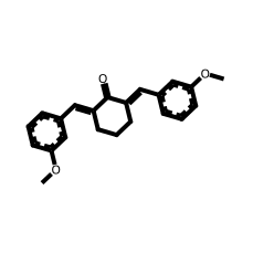 COc1cccc(/C=C2\CCC/C(=C\c3cccc(OC)c3)C2=O)c1